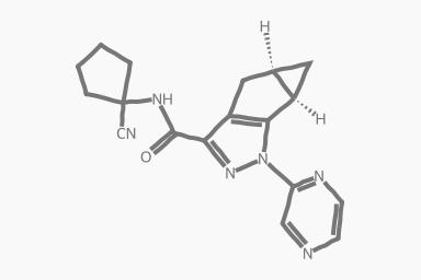 N#CC1(NC(=O)c2nn(-c3cnccn3)c3c2C[C@H]2C[C@@H]32)CCCC1